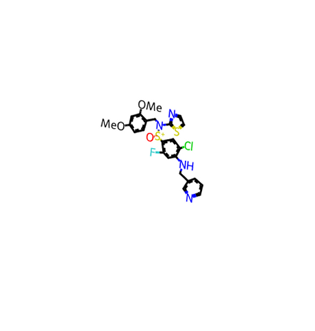 COc1ccc(CN(c2nccs2)[S+]([O-])c2cc(Cl)c(NCc3cccnc3)cc2F)c(OC)c1